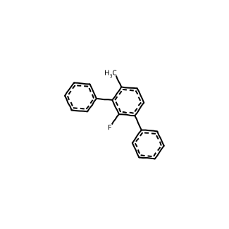 Cc1ccc(-c2ccccc2)c(F)c1-c1ccccc1